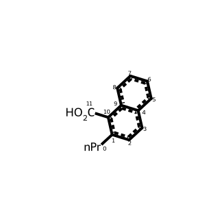 CCCc1ccc2ccccc2c1C(=O)O